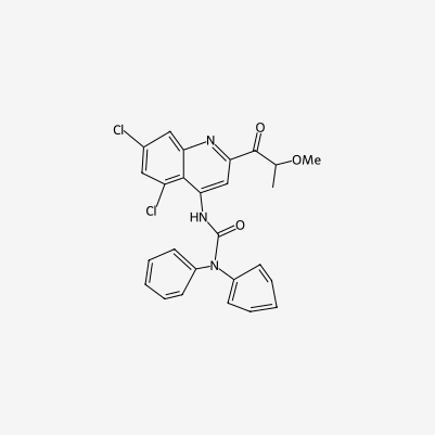 COC(C)C(=O)c1cc(NC(=O)N(c2ccccc2)c2ccccc2)c2c(Cl)cc(Cl)cc2n1